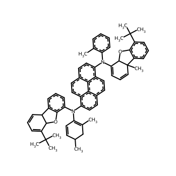 CC1=C(N(c2cccc3c2OC2C(C(C)(C)C)=CC=CC32)c2ccc3ccc4c(N(C5=CC=CC6(C)c7cccc(C(C)(C)C)c7OC56)c5ccccc5C)ccc5ccc2c3c54)C=CC(C)C1